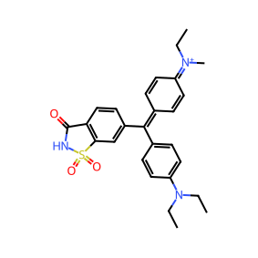 CCN(CC)c1ccc(C(=C2C=CC(=[N+](C)CC)C=C2)c2ccc3c(c2)S(=O)(=O)NC3=O)cc1